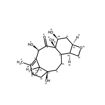 CC1=C2[C@@H](O)C(=O)[C@@]3(C)C(CC[C@](O)(CC1)C2(C)C)[C@@H]1CO[C@@H]1C[C@@H]3O